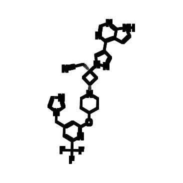 N#CC[C@]1(n2cc(-c3ncnc4[nH]ccc34)cn2)C[C@H](N2CCC(Oc3cc(Cn4ccnc4)cc(C(F)(F)F)n3)CC2)C1